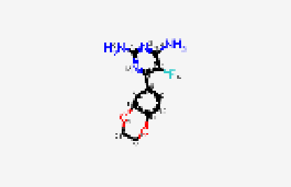 Nc1nc(N)c(F)c(-c2ccc3c(c2)OCCO3)n1